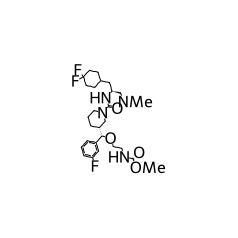 CNC[C@H](CC1CCC(F)(F)CC1)NC(=O)N1CCC[C@@H](C(OCCNC(=O)OC)c2cccc(F)c2)C1